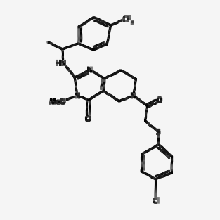 COn1c(NC(C)c2ccc(C(F)(F)F)cc2)nc2c(c1=O)CN(C(=O)CSc1ccc(Cl)cc1)CC2